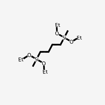 CCO[Si](C)(CCCC[Si](C)(OCC)OCC)OCC